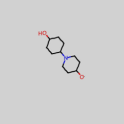 [O]C1CCN(C2CCC(O)CC2)CC1